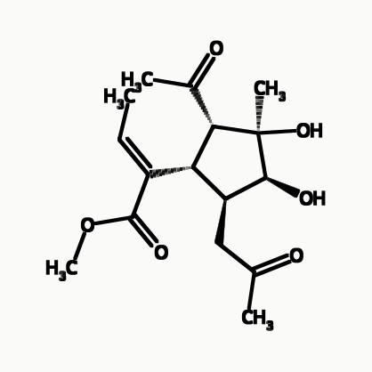 C/C=C(/C(=O)OC)[C@H]1[C@H](CC(C)=O)[C@H](O)[C@](C)(O)[C@H]1C(C)=O